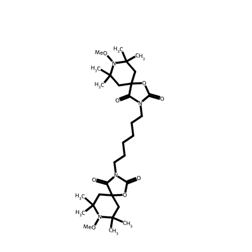 CON1C(C)(C)CC2(CC1(C)C)OC(=O)N(CCCCCCN1C(=O)OC3(CC(C)(C)N(OC)C(C)(C)C3)C1=O)C2=O